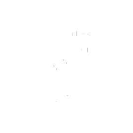 CCCCCCC(O)CN=Nc1ccccc1